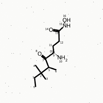 CCC(C)(C)C(C)C(=O)[C@@H](N)CCC(=O)NO